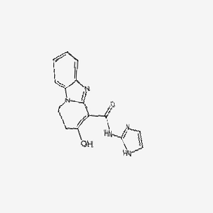 O=C(Nc1ncc[nH]1)C1=C(O)CCn2c1nc1ccccc12